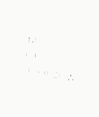 [Cu].[Cu].[Nb].[Ti].[W].[Zr]